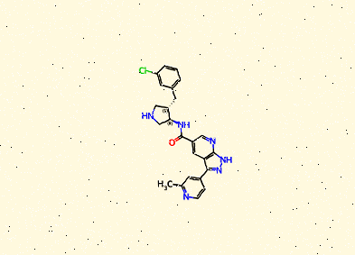 Cc1cc(-c2n[nH]c3ncc(C(=O)N[C@H]4CNC[C@@H]4Cc4cccc(Cl)c4)cc23)ccn1